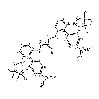 CC1(C)OB(c2cccc(COC(=O)OCc3cccc(B4OC(C)(C)C(C)(C)O4)c3-c3ccc([N+](=O)[O-])cc3)c2-c2ccc([N+](=O)[O-])cc2)OC1(C)C